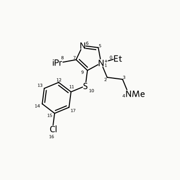 CC[N+]1(CCNC)C=NC(C(C)C)=C1Sc1cccc(Cl)c1